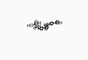 O=C(c1cc2ccc(-c3nccc(Nc4ccc(-c5cn[nH]c5)cc4)n3)cc2[nH]1)N1CCOC[C@H]1CO